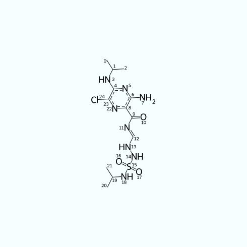 CC(C)Nc1nc(N)c(C(=O)N=CNNS(=O)(=O)NC(C)C)nc1Cl